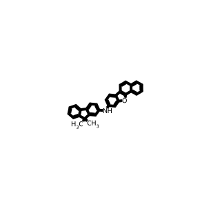 CC1(C)c2ccccc2-c2ccc(Nc3ccc4c(c3)oc3c5ccccc5ccc43)cc21